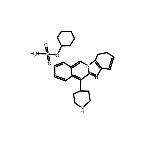 C1=Cc2nc3c(C4CCNCC4)c4ccccc4cn3c2CC1.NS(=O)(=O)OC1CCCCC1